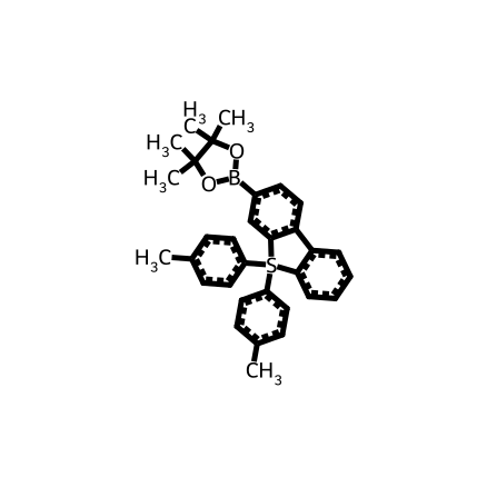 Cc1ccc(S2(c3ccc(C)cc3)c3ccccc3-c3ccc(B4OC(C)(C)C(C)(C)O4)cc32)cc1